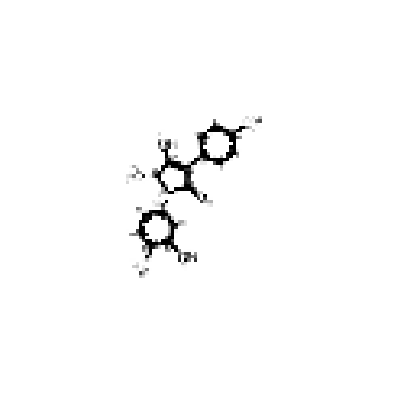 O=C1C(c2ccc(O)cc2)=C(O)[C@@H](O)[C@H]1c1ccc(O)c(O)c1